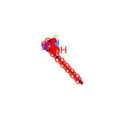 CC[C@]1(O)C(=O)OCc2c1cc1n(c2=O)Cc2c-1nc1cc(F)c(C)c3c1c2[C@H](NC(=O)C(C)(C)C(=O)N/N=C(/C)c1ccc(OCCOCCOCCOCCOCCOCCOCCOCCOCCOCCOCCOCCC(C)C)cc1)CC3